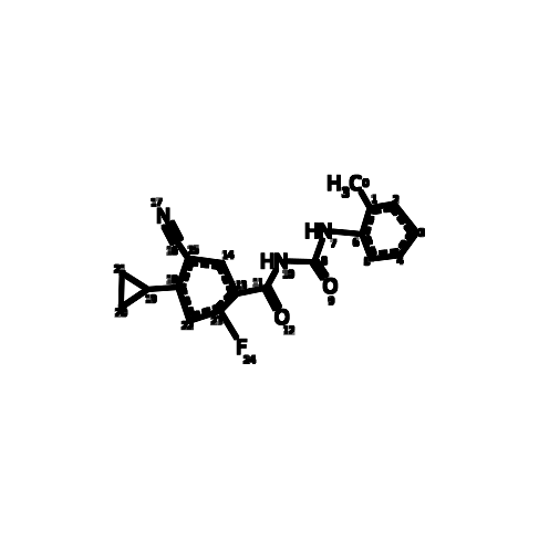 Cc1ccccc1NC(=O)NC(=O)c1cc(C#N)c(C2CC2)cc1F